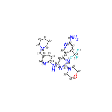 Nc1cc(C(F)(F)F)c(-c2cc(Nc3ccc(CN4CCCCC4)cn3)nc(N3CCOCC3)n2)cn1